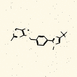 Cn1cc(C(F)(F)F)nc1-c1ccc(Cn2nnc3cnc(Cl)nc32)cc1